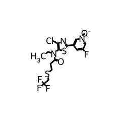 CCN(C(=O)CCSCC(F)(F)F)c1sc(-c2cc(F)c[n+]([O-])c2)nc1Cl